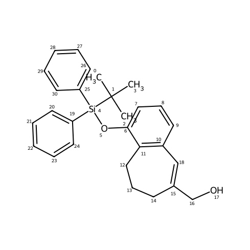 CC(C)(C)[Si](Oc1cccc2c1CCCC(CO)=C2)(c1ccccc1)c1ccccc1